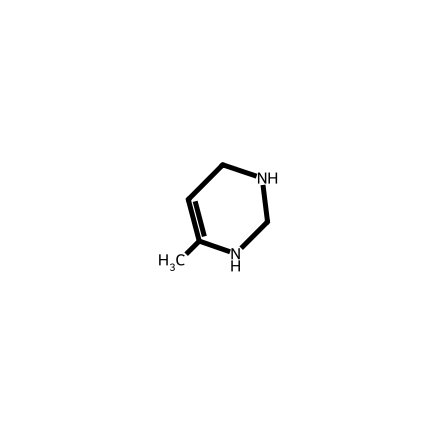 CC1=CCNCN1